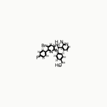 Nc1ncccc1-c1nc2cc(Br)c(-c3ccc(F)cc3)nc2n1-c1ccc(CO)cc1